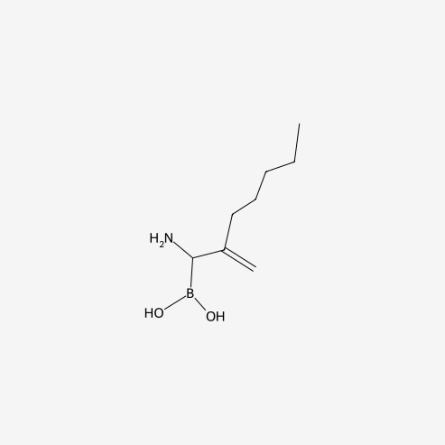 C=C(CCCCC)C(N)B(O)O